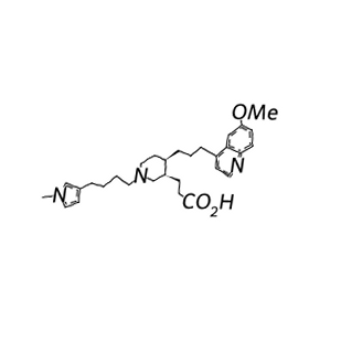 COc1ccc2nccc(CCC[C@@H]3CCN(CCCCc4ccn(C)c4)C[C@@H]3CCC(=O)O)c2c1